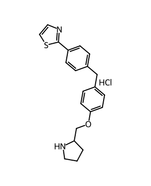 Cl.c1csc(-c2ccc(Cc3ccc(OCC4CCCN4)cc3)cc2)n1